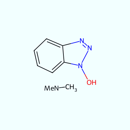 CNC.On1nnc2ccccc21